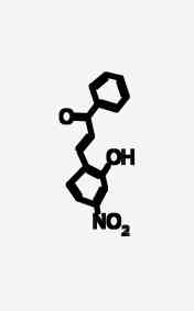 O=C(C=Cc1ccc([N+](=O)[O-])cc1O)c1ccccc1